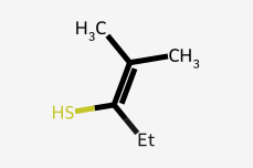 CCC(S)=C(C)C